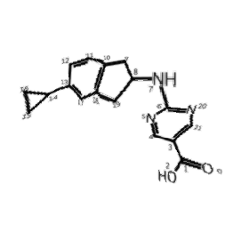 O=C(O)c1cnc(NC2Cc3ccc(C4CC4)cc3C2)nc1